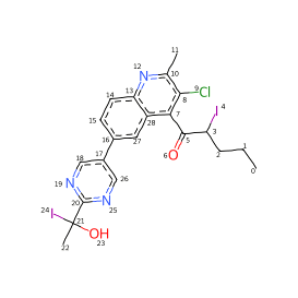 CCCC(I)C(=O)c1c(Cl)c(C)nc2ccc(-c3cnc(C(C)(O)I)nc3)cc12